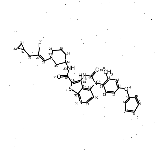 Cc1cc(Oc2ccccc2)ccc1N1C(=O)Nc2c(C(=O)NC3CCCN(C=C(F)CC4CC4)C3)sc3nccc1c23